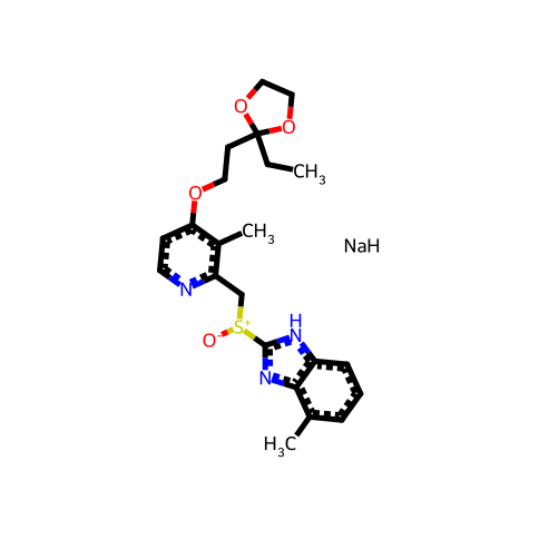 CCC1(CCOc2ccnc(C[S+]([O-])c3nc4c(C)cccc4[nH]3)c2C)OCCO1.[NaH]